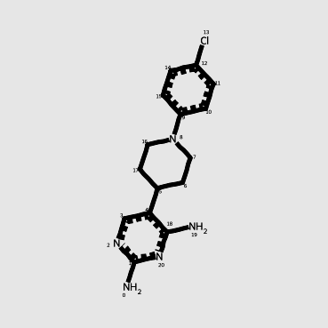 Nc1ncc(C2CCN(c3ccc(Cl)cc3)CC2)c(N)n1